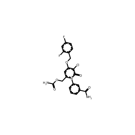 NC(=O)OCc1cc(OCc2ccc(F)cc2F)c(Cl)c(=O)n1-c1cccc(C(N)=O)c1